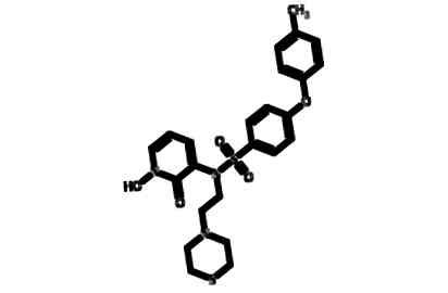 Cc1ccc(Oc2ccc(S(=O)(=O)N(CCN3CCSCC3)c3cccn(O)c3=O)cc2)cc1